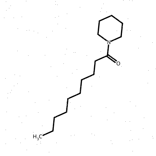 CCCCCCCCCC(=O)N1CCCCC1